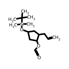 C=CCC1CC(O[Si](C)(C)C(C)(C)C)CC1OC=O